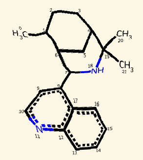 CC1CCC2CC1C(c1ccnc3ccccc13)NC2(C)C